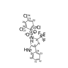 O=S(=O)(NC(Cc1c[nH]c2ccccc12)C(F)(F)F)c1c(Cl)cc(Cl)cc1Cl